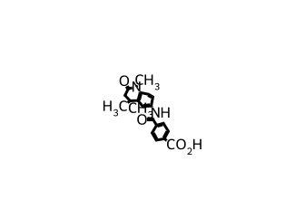 CN1C(=O)CC(C)(C)c2cc(NC(=O)c3ccc(C(=O)O)cc3)ccc21